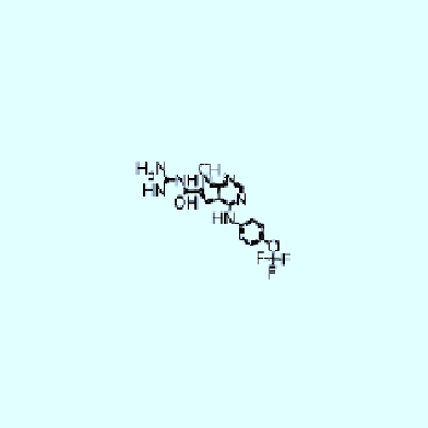 Cn1c(C(O)NC(=N)N)cc2c(Nc3ccc(OC(F)(F)F)cc3)ncnc21